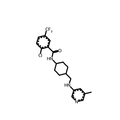 Cc1cncc(NCC2CCC(NC(=O)c3cc(C(F)(F)F)ccc3Cl)CC2)c1